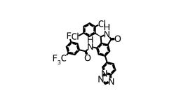 O=C(Nc1cc(-c2ccc3ncnn3c2)cc2c1[C@@H](c1cc(Cl)ccc1Cl)NC2=O)c1cc(F)cc(C(F)(F)F)c1